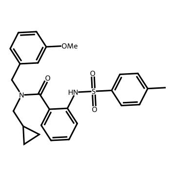 COc1cccc(CN(CC2CC2)C(=O)c2ccccc2NS(=O)(=O)c2ccc(C)cc2)c1